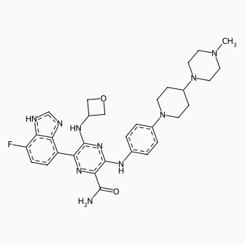 CN1CCN(C2CCN(c3ccc(Nc4nc(NC5COC5)c(-c5ccc(F)c6[nH]cnc56)nc4C(N)=O)cc3)CC2)CC1